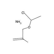 C=C(C)COC(C)Cl.N